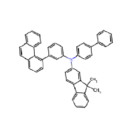 CC1(C)c2ccccc2-c2ccc(N(c3ccc(-c4ccccc4)cc3)c3cccc(-c4cccc5ccc6ccccc6c45)c3)cc21